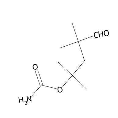 CC(C)(C=O)CC(C)(C)OC(N)=O